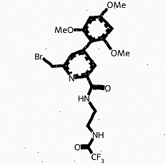 COc1cc(OC)c(-c2cc(CBr)nc(C(=O)NCCNC(=O)C(F)(F)F)c2)c(OC)c1